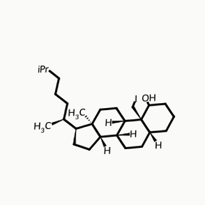 CC(C)CCC[C@H](C)[C@@H]1CC[C@H]2[C@H]3CC[C@H]4CCCC(O)[C@@]4(CI)[C@H]3CC[C@@]21C